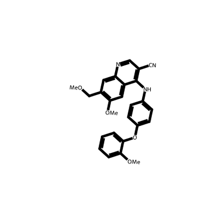 COCc1cc2ncc(C#N)c(Nc3ccc(Oc4ccccc4OC)cc3)c2cc1OC